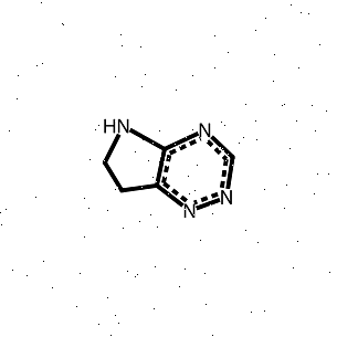 c1nnc2c(n1)NCC2